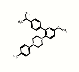 COc1ccc(N2CCN(c3ccc(C)cc3)CC2)c(-c2ccc(C(C)C)cc2)n1